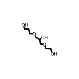 OCCCOCC(O)COCCO